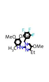 CCC1N=C(Nc2cc(OC)c(OC)cc2C)N(Cc2cc(F)c(F)c(F)c2)C=C1OC